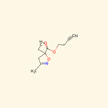 C#CCCOC(=O)C1(CC)CC(C)=NO1